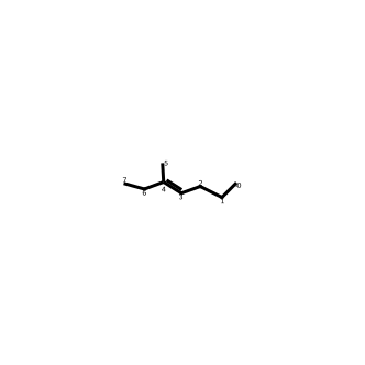 [CH2]CC/C=C(\C)CC